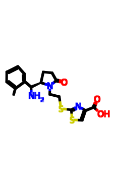 Cc1ccccc1C(N)[C@H]1CCC(=O)N1CCSc1nc(C(=O)O)cs1